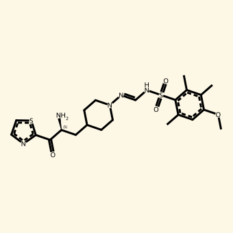 COc1cc(C)c(S(=O)(=O)NC=NN2CCC(C[C@H](N)C(=O)c3nccs3)CC2)c(C)c1C